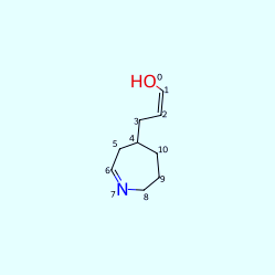 O/C=C\CC1CC=NCCC1